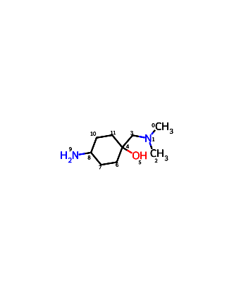 CN(C)CC1(O)CCC(N)CC1